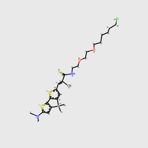 CN(C)c1cc2c(s1)-c1sc(/C=C(\C#N)C(=S)NCCOCCOCCCCCCCl)cc1[Si]2(C)C